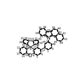 c1cc(-c2ccc3c(c2)C2(c4ccccc4O3)c3ccccc3-c3ccccc32)cc(-n2c3ccccc3c3ccc4ccccc4c32)c1